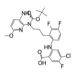 COc1ccc(N)c(N(CCCc2c(Nc3cc(Cl)c(F)cc3C(=O)O)ccc(F)c2F)C(=O)OC(C)(C)C)n1